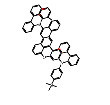 Cc1cccc(C)c1B(c1ccccc1-c1ccccc1)c1cc2c3cccc4c3c(cc2c2ccccc12)-c1ccc(N(c2ccc([Si](C)(C)C)cc2)c2ccccc2-c2ccccc2)cc1O4